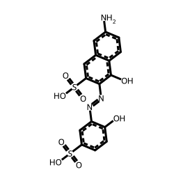 Nc1ccc2c(O)c(N=Nc3cc(S(=O)(=O)O)ccc3O)c(S(=O)(=O)O)cc2c1